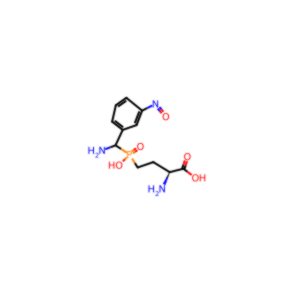 NC(c1cccc(N=O)c1)P(=O)(O)CC[C@H](N)C(=O)O